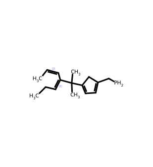 C/C=C\C(=C/CC)C(C)(C)C1=CC=C(CP)C1